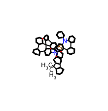 CC1(C)c2ccccc2-c2ccc(N(c3ccc4c(c3)-c3ccccc3-c3ccccc3N4c3ccccc3)c3ccc4c(c3)C3(c5ccccc5-c5ccccc5-4)c4ccccc4-c4cc5sc6ccccc6c5cc43)cc21